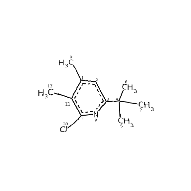 Cc1cc(C(C)(C)C)nc(Cl)c1C